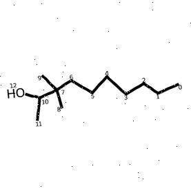 CCCCCCCC(C)(C)C(C)O